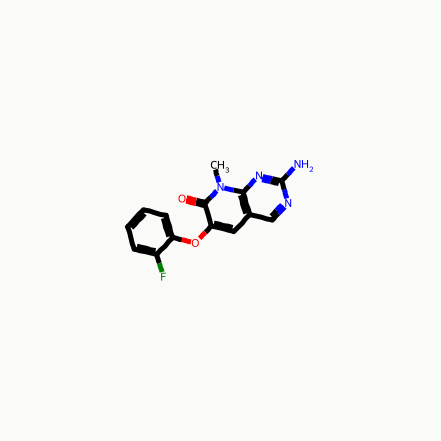 Cn1c(=O)c(Oc2ccccc2F)cc2cnc(N)nc21